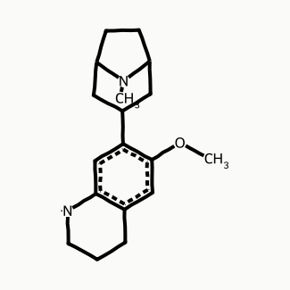 COc1cc2c(cc1C1CC3CCC(C1)N3C)[N]CCC2